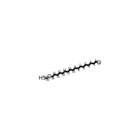 O=CCCCCCCCCCCCCCCCCCOCS